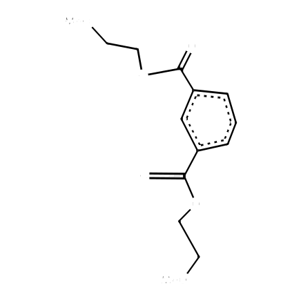 COCCOC(=O)c1cccc(C(=O)OCCOC)c1